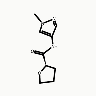 Cn1cc(NC(=O)[C@H]2CCCO2)cn1